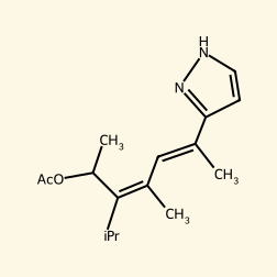 CC(=O)OC(C)/C(=C(C)\C=C(/C)c1cc[nH]n1)C(C)C